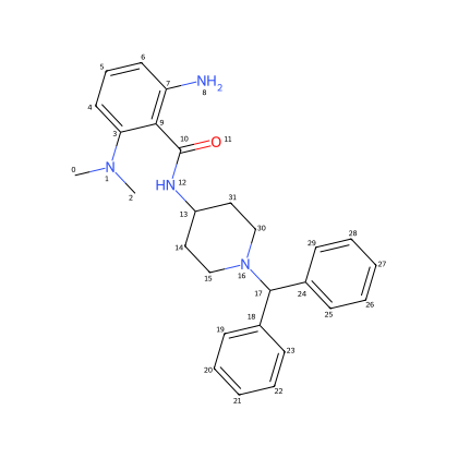 CN(C)c1cccc(N)c1C(=O)NC1CCN(C(c2ccccc2)c2ccccc2)CC1